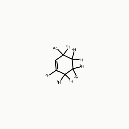 [2H]C1=CC([2H])(C(C)=O)C([2H])([2H])C([2H])([2H])C1([2H])[2H]